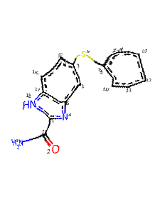 NC(=O)c1nc2cc(Sc3ccccc3)ccc2[nH]1